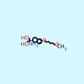 COCCCCCOc1ccc2c(c1)CC[C@H](C(N)(CO)CO)C2